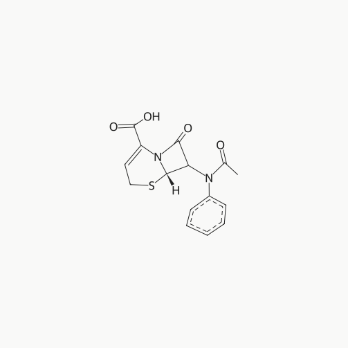 CC(=O)N(c1ccccc1)C1C(=O)N2C(C(=O)O)=CCS[C@@H]12